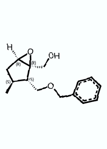 C[C@H]1C[C@H]2O[C@@]2(CO)[C@@H]1COCc1ccccc1